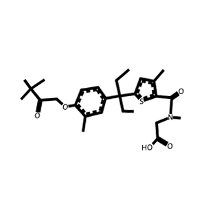 CCC(CC)(c1ccc(OCC(=O)C(C)(C)C)c(C)c1)c1cc(C)c(C(=O)N(C)CC(=O)O)s1